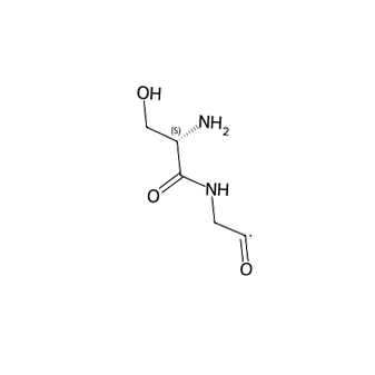 N[C@@H](CO)C(=O)NC[C]=O